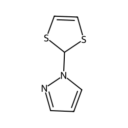 C1=CSC(n2cccn2)S1